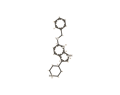 c1ccc(COc2ccc3c(C4CCNCC4)c[nH]c3n2)cc1